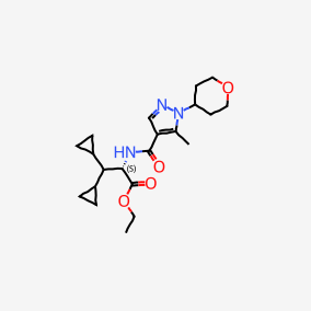 CCOC(=O)[C@@H](NC(=O)c1cnn(C2CCOCC2)c1C)C(C1CC1)C1CC1